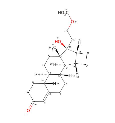 C[C@]12CC[C@H]3[C@@H](CCC4=CC(=O)CC[C@@H]43)[C@@H]1[C@H]1CC[C@H]1[C@@]2(O)CCOC(=O)O